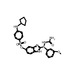 COc1cccc(N(NC(N)=O)c2nc3cc(OS(=O)(=O)c4ccc(NC5CCCC5)cc4)ccc3[nH]2)c1